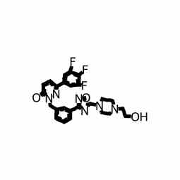 O=c1ccc(-c2cc(F)c(F)c(F)c2)nn1Cc1cccc(-c2noc(N3CCN(CCO)CC3)n2)c1